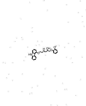 COc1ccccc1OCC(O)CNCCOc1cccc2[nH]c3ccccc3c12